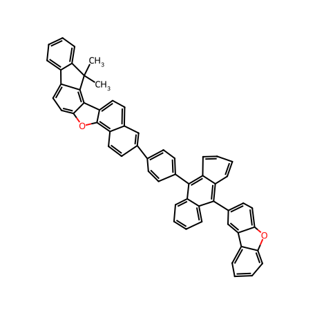 CC1(C)c2ccccc2-c2ccc3oc4c5ccc(-c6ccc(-c7c8ccccc8c(-c8ccc9oc%10ccccc%10c9c8)c8ccccc78)cc6)cc5ccc4c3c21